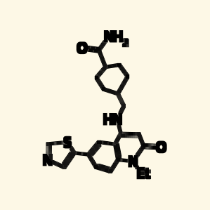 CCn1c(=O)cc(NCC2CCC(C(N)=O)CC2)c2cc(-c3cncs3)ccc21